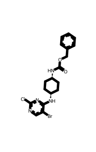 O=C(N[C@H]1CC[C@@H](Nc2nc(Cl)ncc2Br)CC1)OCc1ccccc1